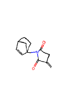 C=C1CC(=O)N(C23C=CC(CC2)C3)C1=O